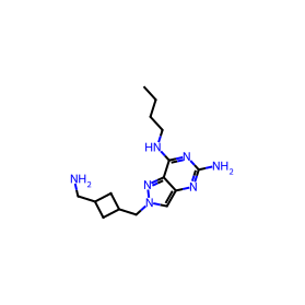 CCCCNc1nc(N)nc2cn(CC3CC(CN)C3)nc12